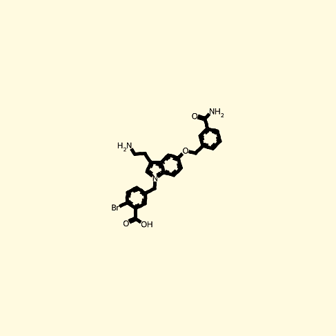 NCCc1cn(Cc2ccc(Br)c(C(=O)O)c2)c2ccc(OCc3cccc(C(N)=O)c3)cc12